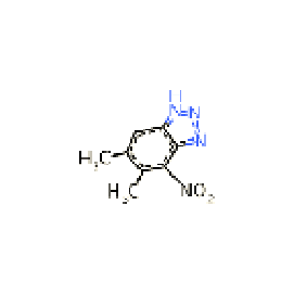 Cc1cc2[nH]nnc2c([N+](=O)[O-])c1C